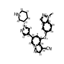 Cn1ncc2cc(Sc3cc(-c4cnn([C@H]5CCCNC5)c4)cn4ncc(C#N)c34)ccc21